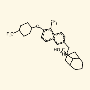 O=C(O)C1CC2CCCC(C1)C2NCc1ccc2c(C(F)(F)F)c(OC3CCC(C(F)(F)F)CC3)ccc2c1